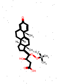 C[C@]12C=CC(=O)C=C1CC[C@@H]1C2=CC[C@]2(C)C(=C(OO[Si](C)(C)C)C(O)CC(=O)O)CC[C@@H]12